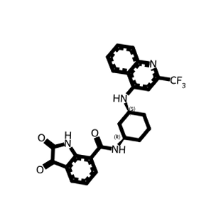 O=C1Nc2c(C(=O)N[C@@H]3CCC[C@H](Nc4cc(C(F)(F)F)nc5ccccc45)C3)cccc2C1=O